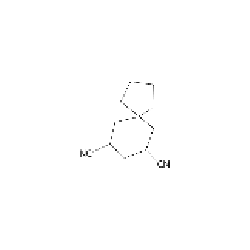 N#CC1CC(C#N)CC2(CCCC2)C1